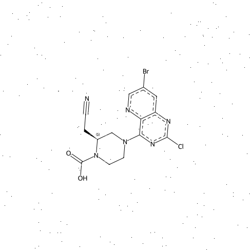 N#CC[C@H]1CN(c2nc(Cl)nc3cc(Br)cnc23)CCN1C(=O)O